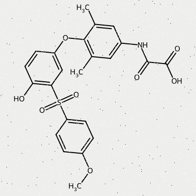 COc1ccc(S(=O)(=O)c2cc(Oc3c(C)cc(NC(=O)C(=O)O)cc3C)ccc2O)cc1